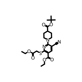 CCOC(=O)CSc1nc(N2CCC(C(=O)OC(C)(C)C)CC2)c(C#N)cc1C(=O)OCC